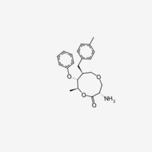 Cc1ccc(C[C@H]2COC[C@H](N)C(=O)O[C@@H](C)[C@@H]2Oc2ccccc2)cc1